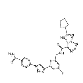 NC(=O)c1ccc(-n2cc(-c3cc(F)cc(CNC(=O)c4ncnc5nc(C6CCCC6)[nH]c45)c3)cn2)cc1